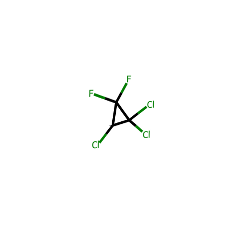 FC1(F)[C](Cl)C1(Cl)Cl